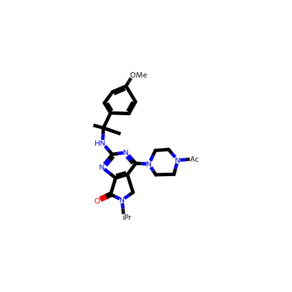 COc1ccc(C(C)(C)Nc2nc3c(c(N4CCN(C(C)=O)CC4)n2)CN(C(C)C)C3=O)cc1